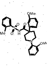 COc1cccc(C2(C(=O)NS(=O)(=O)c3ccccc3OC)CCN(c3ccccc3OC)CC2)c1